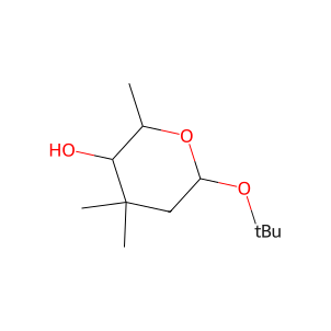 CC1OC(OC(C)(C)C)CC(C)(C)C1O